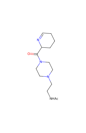 CC(=O)NCCN1CCN(C(=O)C2CCCC=N2)CC1